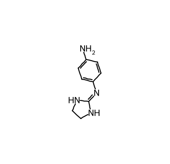 Nc1ccc(N=C2NCCN2)cc1